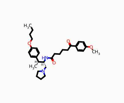 CCCCOc1ccc([C@@H](C)[C@@H](CN2CCCC2)NC(=O)CCCCC(=O)c2ccc(OC)cc2)cc1